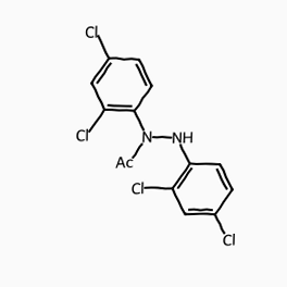 CC(=O)N(Nc1ccc(Cl)cc1Cl)c1ccc(Cl)cc1Cl